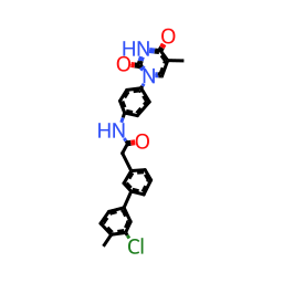 Cc1ccc(-c2cccc(CC(=O)Nc3ccc(-n4cc(C)c(=O)[nH]c4=O)cc3)c2)cc1Cl